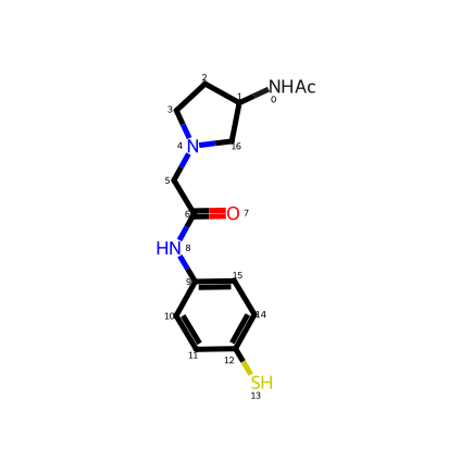 CC(=O)NC1CCN(CC(=O)Nc2ccc(S)cc2)C1